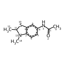 CC(=O)Nc1ccc2c(c1)SC(C)N2C